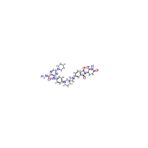 NC(=O)c1ncc(N2CCCCC2)nc1Nc1ccc(N2CCCC3(C2)CN(c2ccc4c(c2)C(=O)N(C2CCC(=O)NC2=O)C4=O)C3)cc1